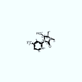 C[C@@H]1[C@H](O)N(c2cc(C(F)(F)F)ccn2)C(=O)N1C